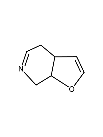 C1=CC2CC=NCC2O1